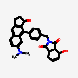 CN(C)c1ccc2cc3c(c(-c4ccc(CN5C(=O)C6CC=CC(O)C6C5=O)cc4)c2c1)C(=O)CC3